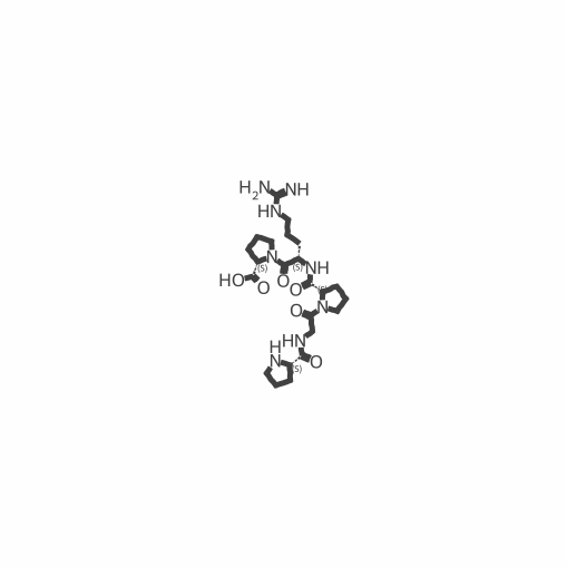 N=C(N)NCCC[C@H](NC(=O)[C@@H]1CCCN1C(=O)CNC(=O)[C@@H]1CCCN1)C(=O)N1CCC[C@H]1C(=O)O